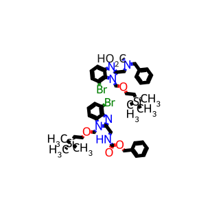 C[Si](C)(C)CCOCn1c(CN(Cc2ccccc2)C(=O)O)nc2cccc(Br)c21.C[Si](C)(C)CCOCn1c(CNC(=O)OCc2ccccc2)nc2c(Br)cccc21